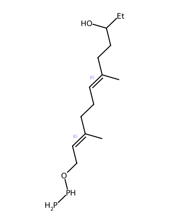 CCC(O)CC/C(C)=C/CC/C(C)=C/COPP